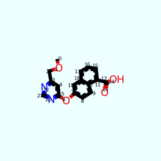 COCc1cc(Oc2ccc3c(C(=O)O)cccc3c2)ncn1